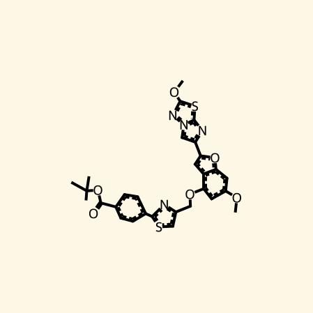 COc1cc(OCc2csc(-c3ccc(C(=O)OC(C)(C)C)cc3)n2)c2cc(-c3cn4nc(OC)sc4n3)oc2c1